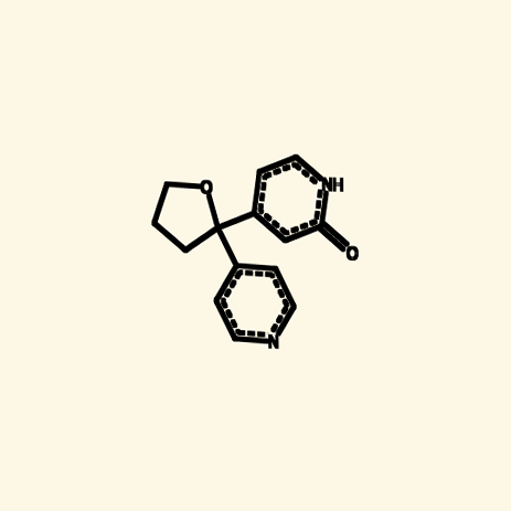 O=c1cc(C2(c3ccncc3)CCCO2)cc[nH]1